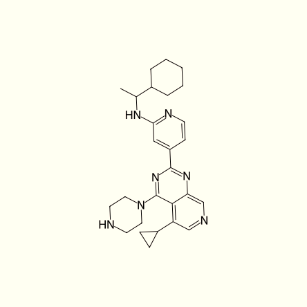 CC(Nc1cc(-c2nc(N3CCNCC3)c3c(C4CC4)cncc3n2)ccn1)C1CCCCC1